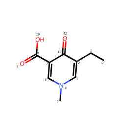 CCc1cn(C)cc(C(=O)O)c1=O